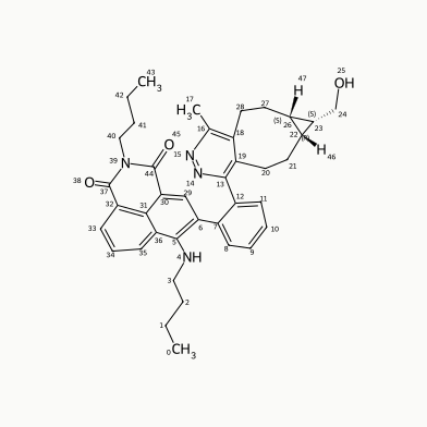 CCCCNc1c(-c2ccccc2-c2nnc(C)c3c2CC[C@H]2[C@@H](CO)[C@H]2CC3)cc2c3c(cccc13)C(=O)N(CCCC)C2=O